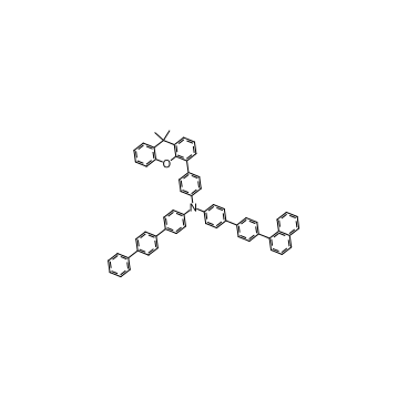 CC1(C)c2ccccc2Oc2c(-c3ccc(N(c4ccc(-c5ccc(-c6ccccc6)cc5)cc4)c4ccc(-c5ccc(-c6cccc7ccccc67)cc5)cc4)cc3)cccc21